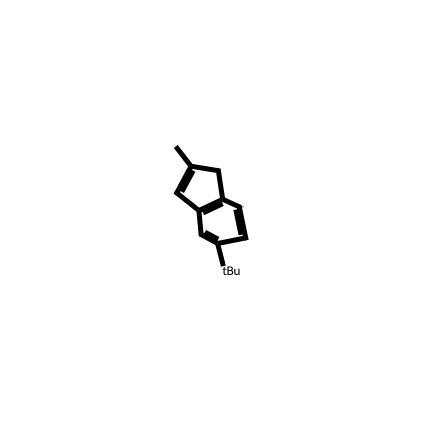 CC1=Cc2cc(C(C)(C)C)c[c]c2C1